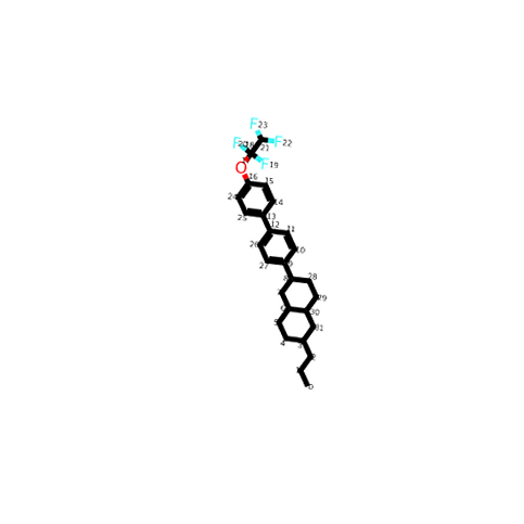 CCCC1CCC2CC(c3ccc(-c4ccc(OC(F)(F)C(F)F)cc4)cc3)CCC2C1